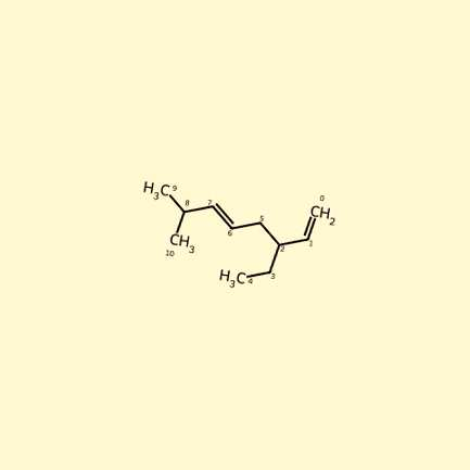 C=CC(CC)CC=CC(C)C